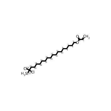 C=CC(=O)OCCCCCCCCCCCCCCCCCC([SiH3])(Cl)Cl